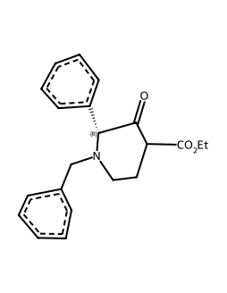 CCOC(=O)C1CCN(Cc2ccccc2)[C@H](c2ccccc2)C1=O